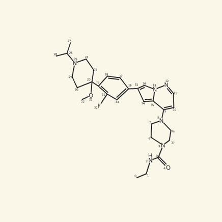 CCNC(=O)N1CCN(c2ccnn3cc(-c4ccc(C5(OC)CCN(C(C)C)CC5)c(F)c4)cc23)CC1